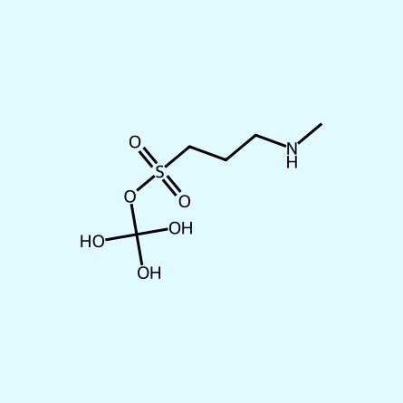 CNCCCS(=O)(=O)OC(O)(O)O